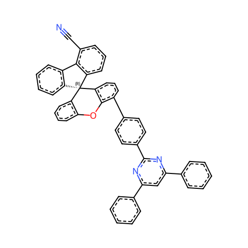 N#Cc1cccc2c1-c1ccccc1[C@]21c2ccccc2Oc2c(-c3ccc(-c4nc(-c5ccccc5)cc(-c5ccccc5)n4)cc3)cccc21